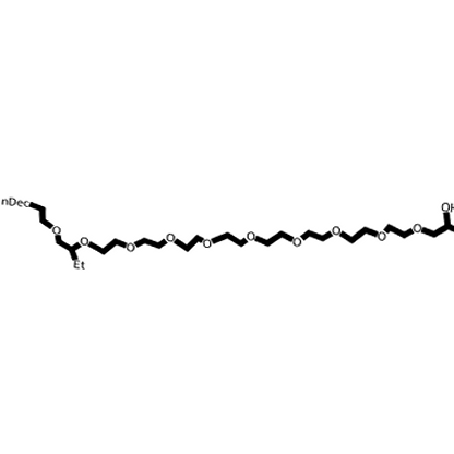 CCCCCCCCCCCCOCC(CC)OCCOCCOCCOCCOCCOCCOCCOCCOCC(O)CC